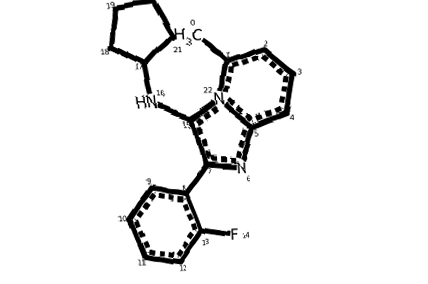 Cc1cccc2nc(-c3ccccc3F)c(NC3CCCC3)n12